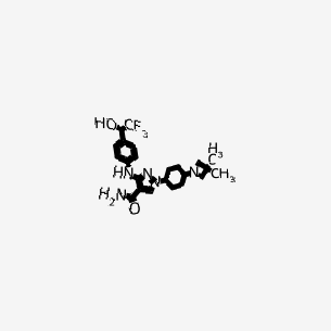 CC1(C)CN(C2CCC(n3cc(C(N)=O)c(Nc4ccc(C(O)C(F)(F)F)cc4)n3)CC2)C1